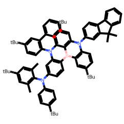 Cc1cc(C(C)(C)C)cc(C)c1N(c1ccc(C(C)(C)C)cc1)c1ccc2c(c1)N(c1ccc(C(C)(C)C)cc1-c1ccccc1)c1cc(C(C)(C)C)cc3c1B2c1cc(C(C)(C)C)ccc1N3c1ccc2c(c1)C(C)(C)c1ccccc1-2